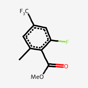 COC(=O)c1c(C)cc(C(F)(F)F)cc1F